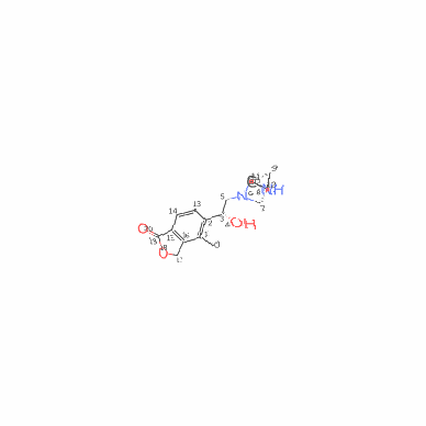 Cc1c([C@@H](O)CN2C[C@@]34C[C@]23CN4)ccc2c1COC2=O